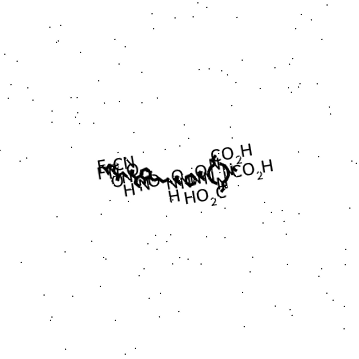 N#C[C@@H]1CC(F)(F)CN1C(=O)CNC(=O)c1ccnc2c(OCCCNC(=O)CN3CCN(C(=O)CN4CCN(CC(=O)O)CCN(CC(=O)O)CCN(CC(=O)O)CC4)CC3)cccc12